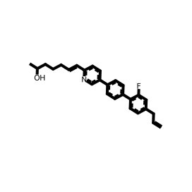 C=CCc1ccc(-c2ccc(-c3ccc(/C=C/CCCC(C)O)nc3)cc2)c(F)c1